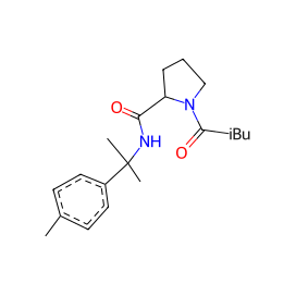 CCC(C)C(=O)N1CCCC1C(=O)NC(C)(C)c1ccc(C)cc1